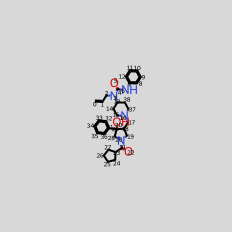 C=CCN(C(=O)Nc1ccccc1)C1CCN(CC2CN(C(=O)C3CCCC3)CC2(O)c2ccccc2)CC1